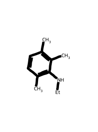 CCNc1c(C)ccc(C)c1C